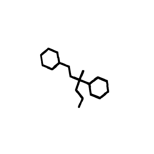 CCCC(C)(CCC1CCCCC1)C1CCCCC1